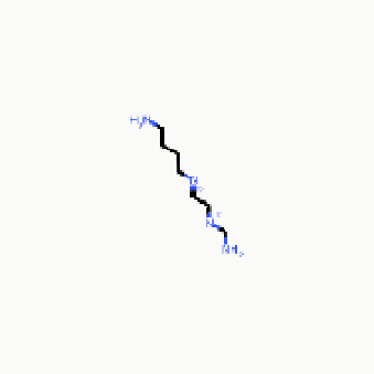 NCCCC/N=C/C=N/CN